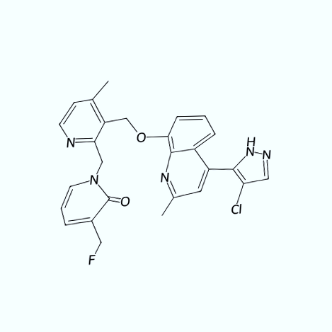 Cc1cc(-c2[nH]ncc2Cl)c2cccc(OCc3c(C)ccnc3Cn3cccc(CF)c3=O)c2n1